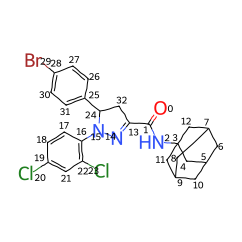 O=C(NC12CC3CC(CC(C3)C1)C2)C1=NN(c2ccc(Cl)cc2Cl)C(c2ccc(Br)cc2)C1